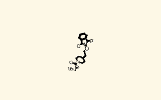 CC(C)(C)OC(=O)N1CCC(CCON2C(=O)c3ccccc3C2=O)CC1